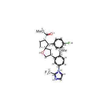 COC(=O)[C@H]1CC[C@@]2(C[C@@H](c3cc(-n4ccnc4C(F)(F)F)ccc3OC)CO2)[C@@H]1c1ccc(F)cc1